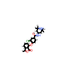 CC1OC(=O)c2c(Oc3ccc(C(=O)NC4CC(C)(C)NC(C)(C)C4)cc3Cl)cccc21